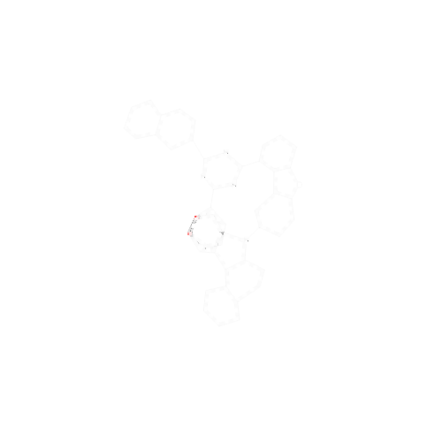 c1ccc(-c2nc(-c3ccc4ccccc4c3)nc(-c3cccc4oc5ccc(-n6c7ccccc7c7c8ccccc8ccc76)cc5c34)n2)cc1